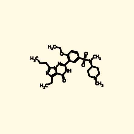 CCCc1nc(CC)c2c(=O)[nH]c(-c3cc(S(=O)(=O)N(C)C4CCN(C)CC4)ccc3OCC)nn12